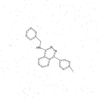 Cc1ccc(-c2nnc(NCc3ccccc3)c3ccccc23)cc1